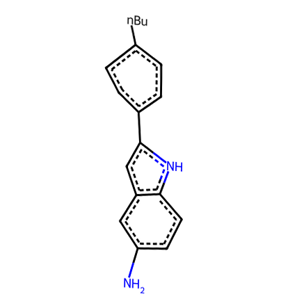 CCCCc1ccc(-c2cc3cc(N)ccc3[nH]2)cc1